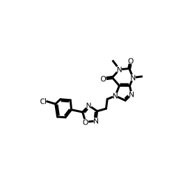 Cn1c(=O)c2c(ncn2CCc2noc(-c3ccc(Cl)cc3)n2)n(C)c1=O